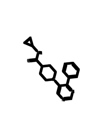 O=C(NC1CC1)C1CCN(c2cncnc2-c2ccccc2)CC1